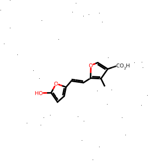 Cc1c(C(=O)O)coc1/C=C/c1ccc(O)o1